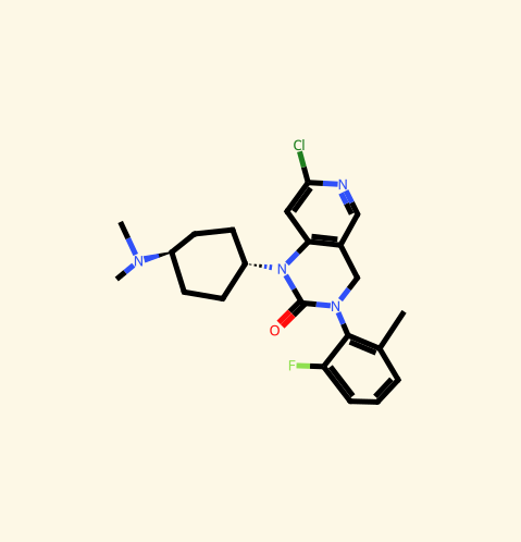 Cc1cccc(F)c1N1Cc2cnc(Cl)cc2N([C@H]2CC[C@H](N(C)C)CC2)C1=O